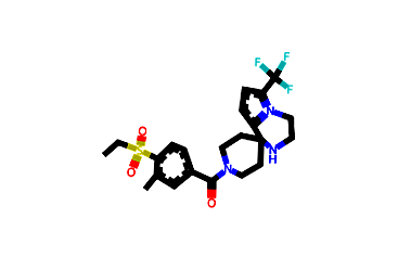 CCS(=O)(=O)c1ccc(C(=O)N2CCC3(CC2)NCCn2c(C(F)(F)F)ccc23)cc1C